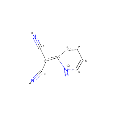 N#CC(C#N)=C1C=CC=CN1